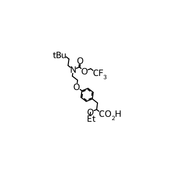 CCOC(Cc1ccc(OCCN(CCC(C)(C)C)C(=O)OCC(F)(F)F)cc1)C(=O)O